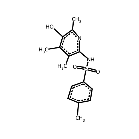 Cc1ccc(S(=O)(=O)Nc2nc(C)c(O)c(C)c2C)cc1